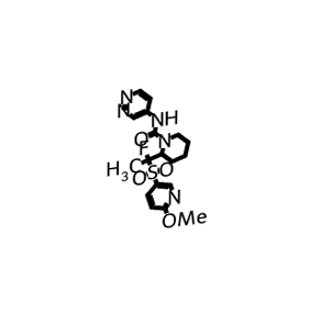 COc1ccc(S(=O)(=O)C(C)(F)C2CCCCN2C(=O)Nc2ccnnc2)cn1